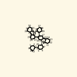 c1ccc(-c2cccc(-n3c4ccccc4c4cc5c(cc43)-c3cccc4c6ccccc6n(c34)-c3ccccc3-5)c2)cc1